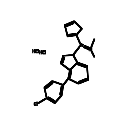 C[Si](C)=[Zr]([C]1=CC=CC1)[CH]1C=Cc2c(-c3ccc(Cl)cc3)cccc21.Cl.Cl